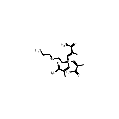 CC(=C[N+](C=C(C)C(N)=O)(C=C(C)C(N)=O)CCNCCN)C(N)=O